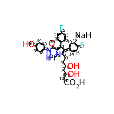 CC(C)n1c(CC[C@@H](O)C[C@@H](O)CC(=O)O)c(-c2ccc(F)cc2)c(-c2ccc(F)cc2)c1C(=O)Nc1ccc(O)cc1.[NaH]